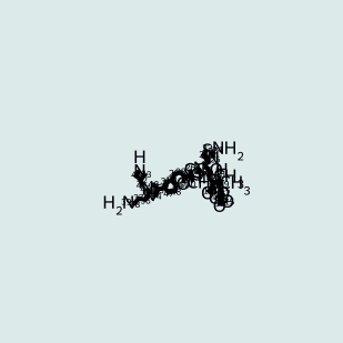 CC(O/N=C(\C(=O)NC1C(=O)N(OS(=O)(=O)[O-])C1(C)C)c1csc(N)n1)(C(=O)O)C1CCc2cc(-c3cn(CCCN)[n+](CC4CNC4)c3)ccc2O1